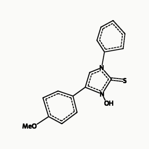 COc1ccc(-c2cn(-c3ccccc3)c(=S)n2O)cc1